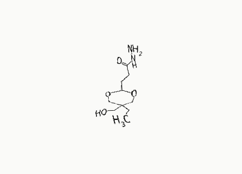 CCC1(CO)COC(CCC(=O)NN)OC1